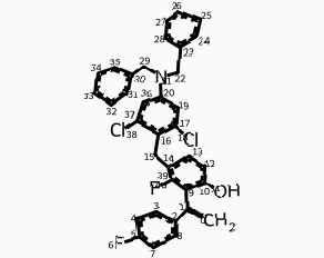 C=C(c1ccc(F)cc1)c1c(O)ccc(Cc2c(Cl)cc(N(Cc3ccccc3)Cc3ccccc3)cc2Cl)c1F